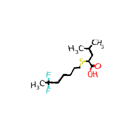 CC(C)CC(SCCCCCC(C)(F)F)C(=O)O